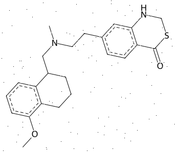 COc1cccc2c1CCCC2CN(C)CCc1ccc2c(c1)NCSC2=O